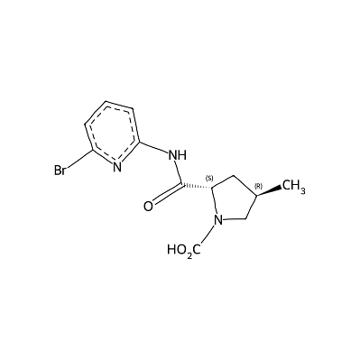 C[C@@H]1C[C@@H](C(=O)Nc2cccc(Br)n2)N(C(=O)O)C1